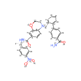 C[C@H](NC(=O)c1ccc2c(c1)OCCN2Cc1ccccc1-c1ccc(C(N)=O)cc1)c1ccc([N+](=O)[O-])cc1